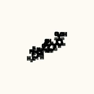 CCc1[nH]c(C(=O)NC2CCN(c3cccc(C(=O)O)c3)CC2OC)nc1C(F)(F)F